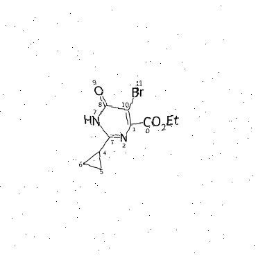 CCOC(=O)c1nc(C2CC2)[nH]c(=O)c1Br